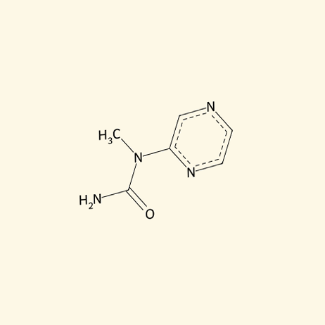 CN(C(N)=O)c1cnccn1